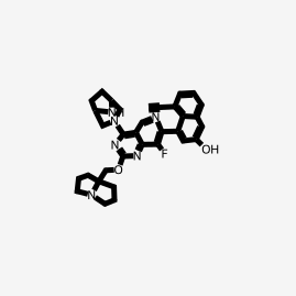 C#Cc1cccc2cc(O)cc(-c3ncc4c(N5CC6CCC(C5)N6)nc(OCC56CCCN5CCC6)nc4c3F)c12